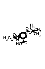 COC(=O)N[C@H]1CCN(C(=O)OC(C)(C)C)C[C@H]1C(=O)O